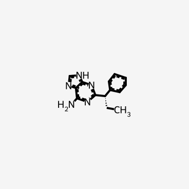 CC[C@@H](c1ccccc1)c1nc(N)c2nc[nH]c2n1